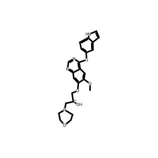 COc1cc2c(Oc3ccc4[nH]ccc4c3)ncnc2cc1OC[C@@H](O)CN1CCOCC1